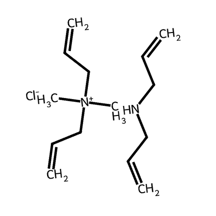 C=CCNCC=C.C=CC[N+](C)(C)CC=C.[Cl-]